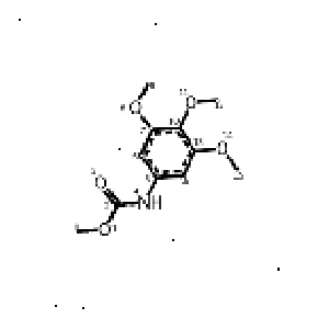 COC(=O)Nc1cc(OC)c(OC)c(OC)c1